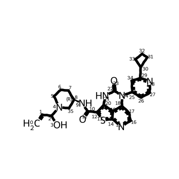 C=CC(O)N1CCC[C@@H](NC(=O)c2sc3nccc4c3c2NC(=O)N4c2ccnc(C3CCC3)c2)C1